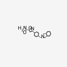 NC(=O)c1cc(-c2ccc(CN3Cc4ccccc4C3)cc2)no1